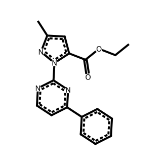 CCOC(=O)c1cc(C)nn1-c1nccc(-c2ccccc2)n1